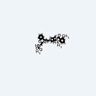 CC(=O)NCC(=O)NC(CCN1CC2CN(C(=O)c3c(C)cccc3C)C[C@@H]2C1)c1ccccc1